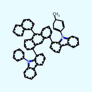 CC1C=CC(n2c3ccccc3c3cccc(-c4cccc5c(-c6cccc7ccccc67)c6cccc(-c7cccc8c9ccccc9n(-c9ccccc9)c78)c6cc45)c32)=CC1